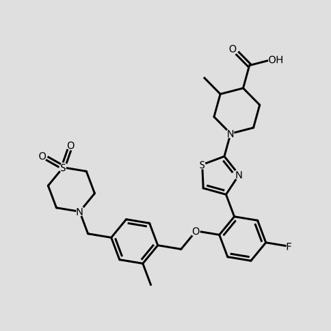 Cc1cc(CN2CCS(=O)(=O)CC2)ccc1COc1ccc(F)cc1-c1csc(N2CCC(C(=O)O)C(C)C2)n1